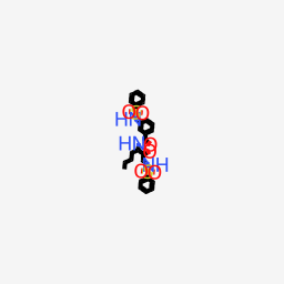 CCCCC(NC(=O)c1cccc(NS(=O)(=O)c2ccccc2)c1)C(=O)CNS(=O)(=O)c1ccccc1